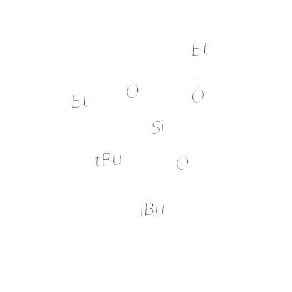 CCO[Si](OCC)(OC(C)CC)C(C)(C)C